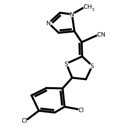 Cn1cncc1C(C#N)=C1SCC(c2ccc(Cl)cc2Cl)S1